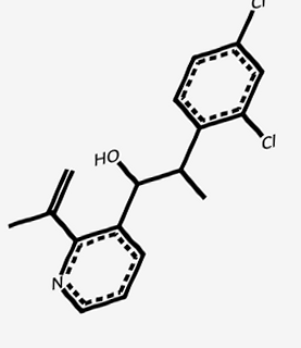 C=C(C)c1ncccc1C(O)C(C)c1ccc(Cl)cc1Cl